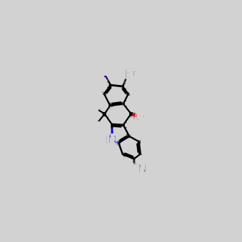 CCc1cc2c(cc1I)C(C)(C)c1[nH]c3cc(C#N)ccc3c1C2=O